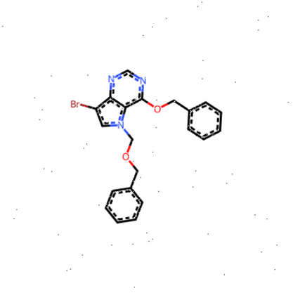 Brc1cn(COCc2ccccc2)c2c(OCc3ccccc3)ncnc12